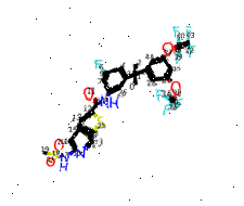 CC(C)(c1cc(F)cc(NC(=O)c2cc3cc(NS(C)(=O)=O)ncc3s2)c1)c1cc(OC(F)(F)F)cc(OC(F)(F)C(F)F)c1